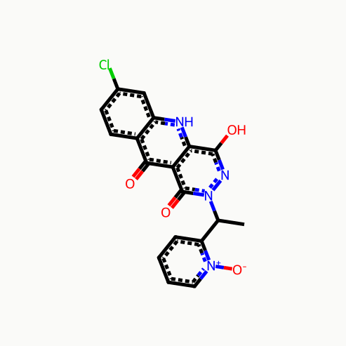 CC(c1cccc[n+]1[O-])n1nc(O)c2[nH]c3cc(Cl)ccc3c(=O)c2c1=O